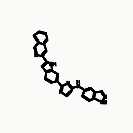 c1ccc2cc(-c3cc4ccc(-c5nccc(Nc6ccc7[nH]ncc7c6)n5)cc4[nH]3)ncc2c1